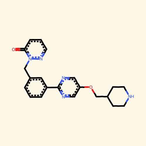 O=c1cccnn1Cc1cccc(-c2ncc(OCC3CCNCC3)cn2)c1